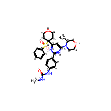 CNC(=O)Nc1ccc(-c2nc(N3CCOC[C@@H]3C)cc(C3(S(=O)(=O)c4ccccc4)CCOCC3)n2)cc1